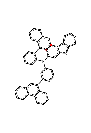 c1cc(-c2cc3ccccc3c3ccccc23)cc(N(c2ccc3c(c2)sc2ccccc23)c2ccccc2-c2cccc3ccccc23)c1